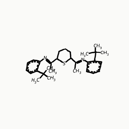 C/C(=N\c1ccccc1C(C)(C)C)C1CCCC(/C(C)=N/c2ccccc2C(C)(C)C)S1